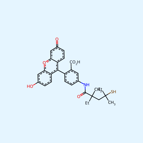 CCC(C)(S)CC(C)(CC)C(=O)Nc1ccc(-c2c3ccc(=O)cc-3oc3cc(O)ccc23)c(C(=O)O)c1